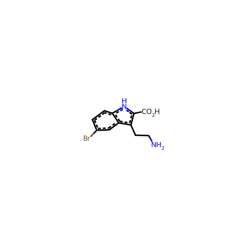 NCCc1c(C(=O)O)[nH]c2ccc(Br)cc12